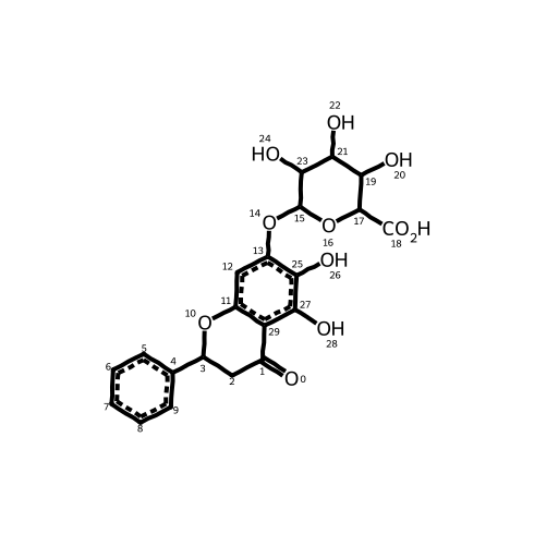 O=C1CC(c2ccccc2)Oc2cc(OC3OC(C(=O)O)C(O)C(O)C3O)c(O)c(O)c21